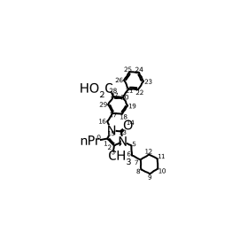 CCCc1c(C)n(CCC2CCCCC2)c(=O)n1Cc1ccc(-c2ccccc2)c(C(=O)O)c1